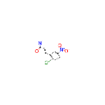 CN(C)C(=O)C=Cc1cc([N+](=O)[O-])ccc1Cl